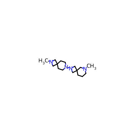 CN1CC2(CCN(N3CC4(CCCN(C)C4)C3)CC2)C1